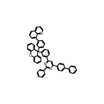 c1ccc(-c2ccc(-c3cc(-c4cccc(C5(c6cccc(-c7cccc8cccnc78)c6)c6ccccc6Oc6ccccc65)c4)nc(-c4ccccc4)n3)cc2)cc1